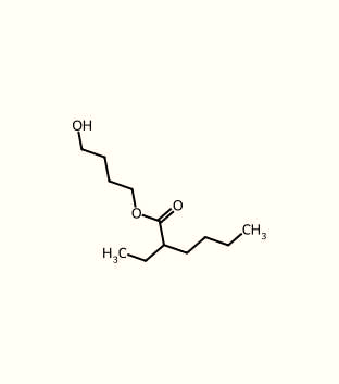 CCCCC(CC)C(=O)OCCCCO